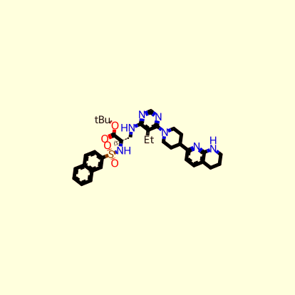 CCc1c(NC[C@H](NS(=O)(=O)c2ccc3ccccc3c2)C(=O)OC(C)(C)C)ncnc1N1CCC(c2ccc3c(n2)NCCC3)CC1